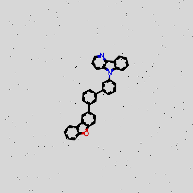 c1cc(-c2cccc(-n3c4ccccc4c4ncccc43)c2)cc(-c2ccc3oc4ccccc4c3c2)c1